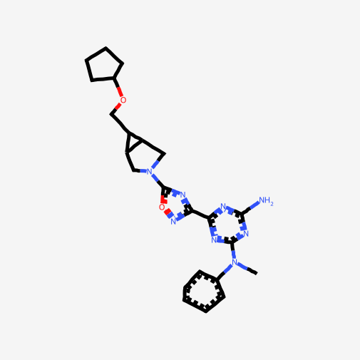 CN(c1ccccc1)c1nc(N)nc(-c2noc(N3CC4C(COC5CCCC5)C4C3)n2)n1